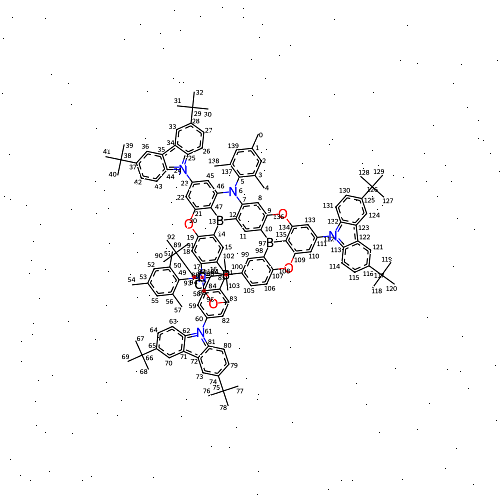 Cc1cc(C)c(N2c3cc4c(cc3B3c5cc6c(cc5Oc5cc(-n7c8ccc(C(C)(C)C)cc8c8cc(C(C)(C)C)ccc87)cc2c53)N(c2c(C)cc(C)cc2C)c2cc(-n3c5ccc(C(C)(C)C)cc5c5cc(C(C)(C)C)ccc53)cc3c2B6c2cc(C(C)(C)C)ccc2O3)B2c3cc(C(C)(C)C)ccc3Oc3cc(-n5c6ccc(C(C)(C)C)cc6c6cc(C(C)(C)C)ccc65)cc(c32)O4)c(C)c1